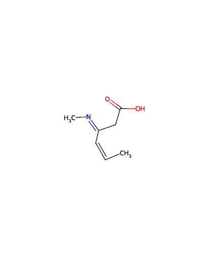 C/C=C\C(CC(=O)O)=N/C